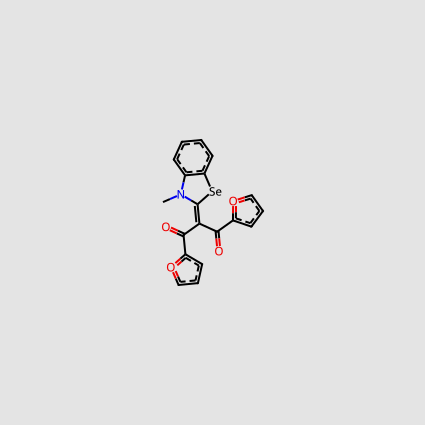 CN1C(=C(C(=O)c2ccco2)C(=O)c2ccco2)[Se]c2ccccc21